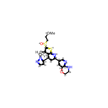 COCC[S+]([O-])c1sc2nc(-c3cnc4c(c3)OCCN4)cc(-c3ccnn3C)c2c1C